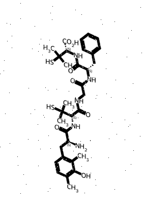 Cc1ccc(C[C@H](N)C(=O)N[C@@H](C(=O)NCC(=O)N[C@@H](Cc2ccccc2)C(=O)N[C@@H](C(=O)O)C(C)(C)S)C(C)(C)S)c(C)c1O